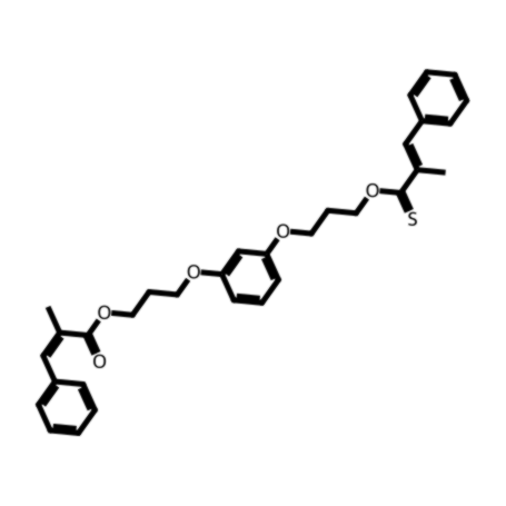 CC(=Cc1ccccc1)C(=O)OCCCOc1cccc(OCCCOC(=S)C(C)=Cc2ccccc2)c1